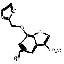 CCOC(=O)c1coc2c(OCc3nccs3)cc(Br)cc12